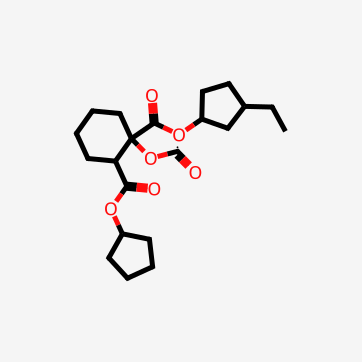 CCC1CCC(OC(=O)C2(O[C]=O)CCCCC2C(=O)OC2CCCC2)C1